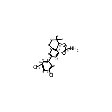 CC1(C)CCc2cc(-c3cc(Cl)cc(Cl)c3)ccc2C1OC(N)=O